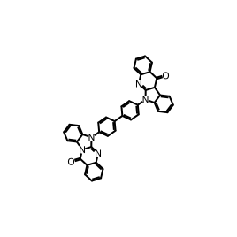 O=C1c2ccccc2N=C2C1c1ccccc1N2c1ccc(-c2ccc(-n3c4ccccc4n4c(=O)c5ccccc5nc34)cc2)cc1